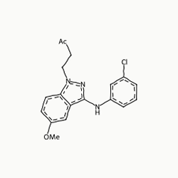 COc1ccc2c(c1)c(Nc1cccc(Cl)c1)nn2CCC(C)=O